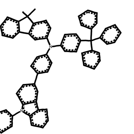 CC1(C)c2ccccc2-c2cc(N(c3ccc(-c4ccc5c(c4)c4ccccc4n5-c4ccccc4)cc3)c3ccc(C(c4ccccc4)(c4ccccc4)c4ccccc4)cc3)ccc21